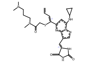 C=C/C=C(\SCC(=O)N(C)CCCN(C)C)c1cc(NC2CC2)n2ncc(/C=C3\NC(=O)NC3=O)c2n1